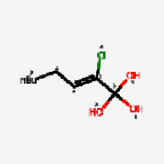 CCCCCC=C(Cl)C(O)(O)O